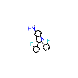 CNc1ccc2nc(-c3ccccc3F)c(-c3ccccc3F)cc2c1